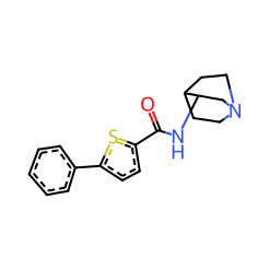 O=C(NC1CN2CCC1CC2)c1ccc(-c2ccccc2)s1